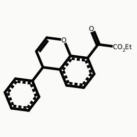 CCOC(=O)C(=O)c1cccc2c1OC=CC2c1ccccc1